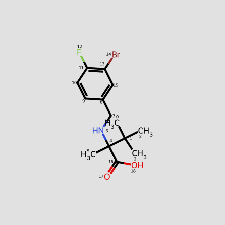 CC(C)(C)C(C)(NCc1ccc(F)c(Br)c1)C(=O)O